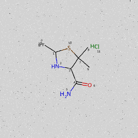 CC(C)C1NC(C(N)=O)C(C)(C)S1.Cl